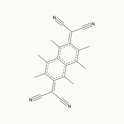 Cc1c(C)c2c(C)c(=C(C#N)C#N)c(C)c(C)c2c(C)c1=C(C#N)C#N